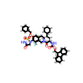 O=C1CN(c2c(OCc3ccccc3)cc3c(c2F)CN(C(=O)[C@@H](CCC2CCCCC2)NC(=O)OCC2c4ccccc4-c4ccccc42)CC3)S(=O)(=O)N1